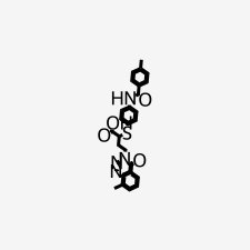 Cc1ccc(C(=O)Nc2ccc(SC(CCn3nnc4c(C)cccc4c3=O)C(=O)O)cc2)cc1